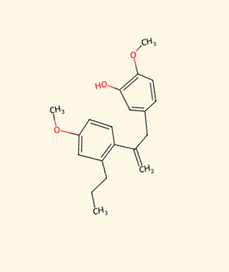 C=C(Cc1ccc(OC)c(O)c1)c1ccc(OC)cc1CCC